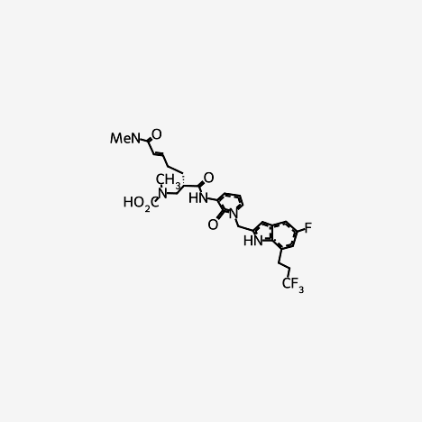 CNC(=O)/C=C/CC[C@@H](CN(C)C(=O)O)C(=O)Nc1cccn(Cc2cc3cc(F)cc(CCC(F)(F)F)c3[nH]2)c1=O